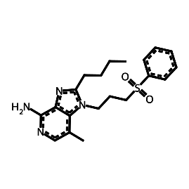 CCCCc1nc2c(N)ncc(C)c2n1CCCS(=O)(=O)c1ccccc1